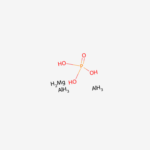 O=P(O)(O)O.[AlH3].[AlH3].[MgH2]